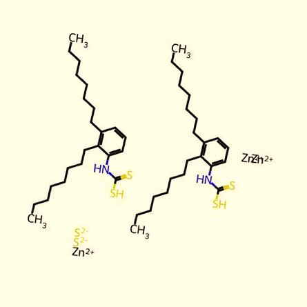 CCCCCCCCc1cccc(NC(=S)S)c1CCCCCCCC.CCCCCCCCc1cccc(NC(=S)S)c1CCCCCCCC.[S-2].[S-2].[Zn+2].[Zn+2].[Zn+2]